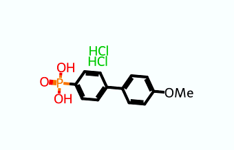 COc1ccc(-c2ccc(P(=O)(O)O)cc2)cc1.Cl.Cl